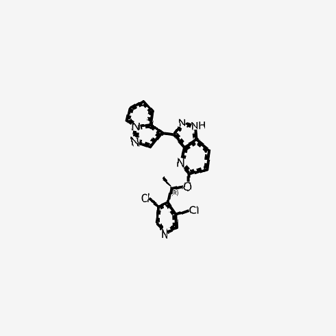 C[C@@H](Oc1ccc2[nH]nc(-c3cnn4ccccc34)c2n1)c1c(Cl)cncc1Cl